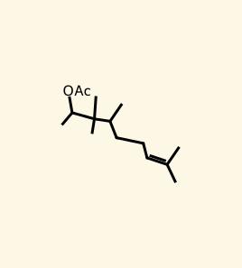 CC(=O)OC(C)C(C)(C)C(C)CCC=C(C)C